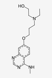 CCN(CCO)CCCOc1ccc2c(NC)ncnc2c1